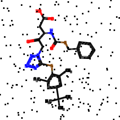 Cc1cc(C(C)(C)C)cc(C)c1Sc1nnnn1CC(=O)C(CC(=O)O)NC(=O)SCc1ccccc1